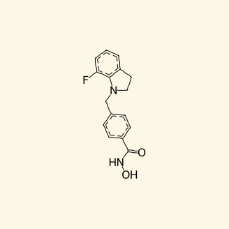 O=C(NO)c1ccc(CN2CCc3cccc(F)c32)cc1